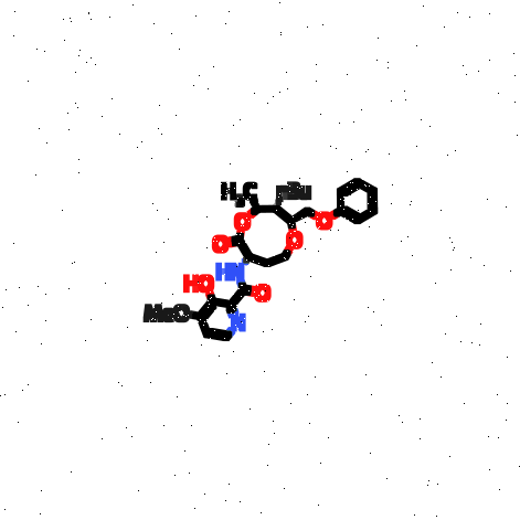 CCCC[C@H]1[C@H](C)OC(=O)[C@@H](NC(=O)c2nccc(OC)c2O)CCO[C@@H]1COc1ccccc1